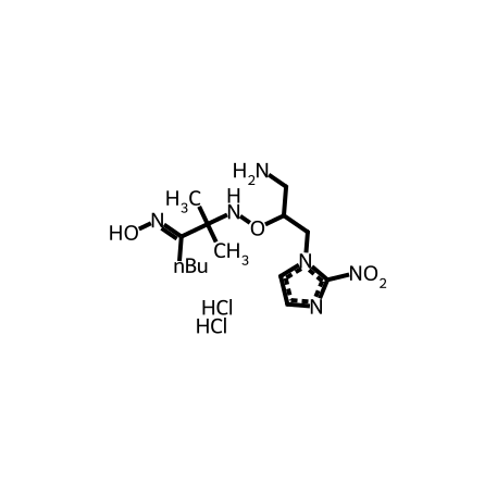 CCCC/C(=N\O)C(C)(C)NOC(CN)Cn1ccnc1[N+](=O)[O-].Cl.Cl